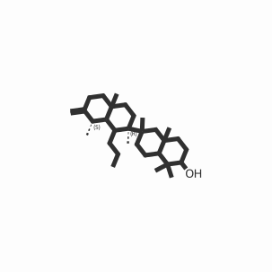 C=C1CCC2(C)CC[C@@](C)(C3(C)CCC4C(C)(CCC(O)C4(C)C)C3)C(CCC)C2[C@@H]1C